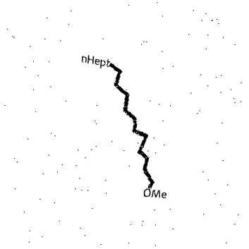 [CH2]CCCCCCCCCCCCCCCCCOC